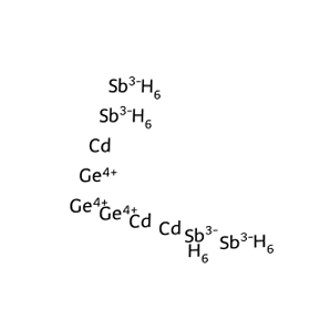 [Cd].[Cd].[Cd].[Ge+4].[Ge+4].[Ge+4].[SbH6-3].[SbH6-3].[SbH6-3].[SbH6-3]